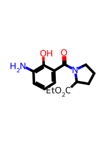 CCOC(=O)C1CCCN1C(=O)c1cccc(N)c1O